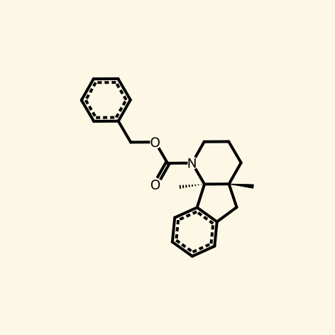 C[C@]12CCCN(C(=O)OCc3ccccc3)[C@]1(C)c1ccccc1C2